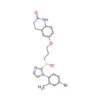 Cc1cc(Br)ccc1-n1ccnc1[S+]([O-])CCCOc1ccc2c(c1)CCC(=O)N2